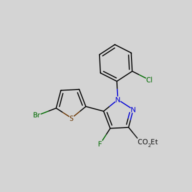 CCOC(=O)c1nn(-c2ccccc2Cl)c(-c2ccc(Br)s2)c1F